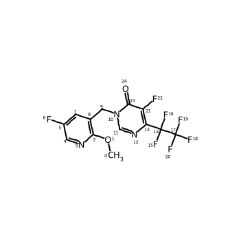 COc1ncc(F)cc1Cn1cnc(C(F)(F)C(F)(F)F)c(F)c1=O